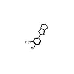 Nc1cc(C2CN3CCSC3=N2)ccc1Br